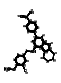 COc1ccc(CNc2nc(-c3ccc(C(=O)O)cc3)nc3oc4c(c23)CCCC4)cc1Cl